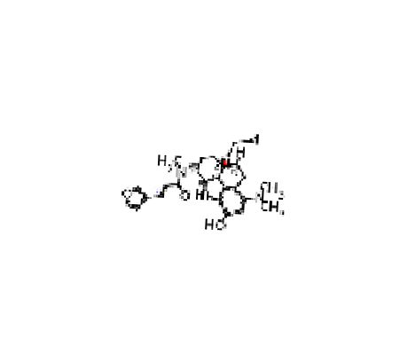 CN(C)c1cc(O)c2c3c1C[C@@H]1[C@@H]4CC[C@@H](N(C)C(=O)/C=C/c5ccoc5)[C@H](O2)[C@]34CCN1CC1CC1